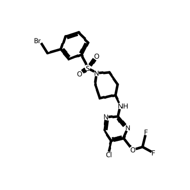 O=S(=O)(c1cccc(CBr)c1)N1CCC(Nc2ncc(Cl)c(OC(F)F)n2)CC1